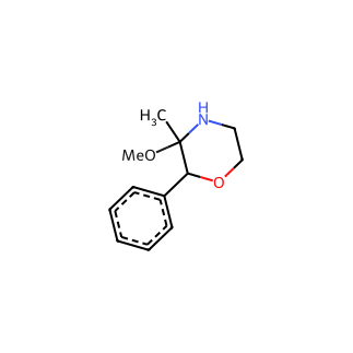 COC1(C)NCCOC1c1ccccc1